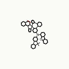 CC1(C)c2ccccc2-c2ccc(N(c3ccc4c(c3)-c3ccccc3-c3ccccc3C43c4ccccc4-c4c3c3ccccc3c3ccccc43)c3cccc4c3oc3ccccc34)cc21